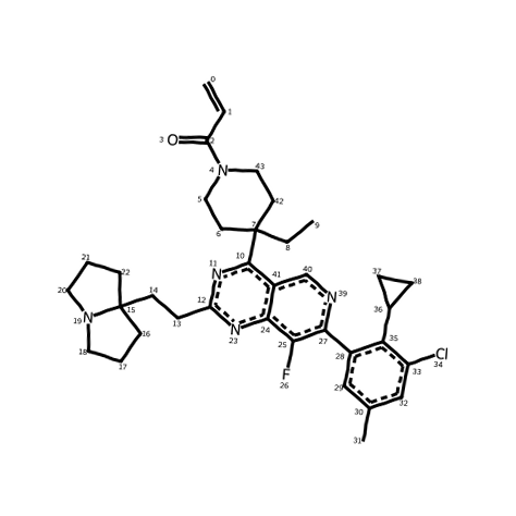 C=CC(=O)N1CCC(CC)(c2nc(CCC34CCCN3CCC4)nc3c(F)c(-c4cc(C)cc(Cl)c4C4CC4)ncc23)CC1